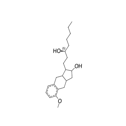 CCCCC[C@H](O)CCC1C(O)CC2Cc3c(cccc3OC)CC21